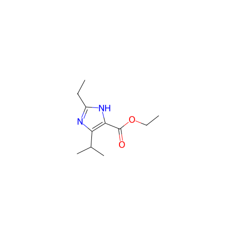 CCOC(=O)c1[nH]c(CC)nc1C(C)C